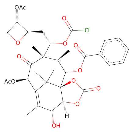 CC(=O)O[C@H]1C(=O)[C@](C)([C@H](C[C@H]2OC[C@@H]2OC(C)=O)OC(=O)Cl)[C@@H](C)[C@H](OC(=O)c2ccccc2)[C@]23OC(=O)O[C@H]2[C@H](O)C(C)=C1C3(C)C